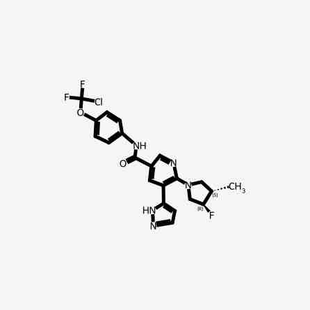 C[C@H]1CN(c2ncc(C(=O)Nc3ccc(OC(F)(F)Cl)cc3)cc2-c2ccn[nH]2)C[C@@H]1F